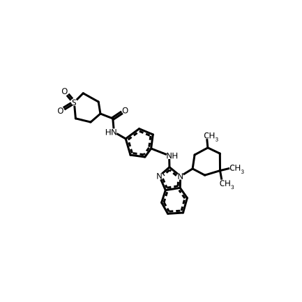 CC1CC(n2c(Nc3ccc(NC(=O)C4CCS(=O)(=O)CC4)cc3)nc3ccccc32)CC(C)(C)C1